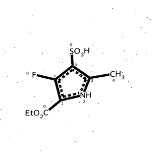 CCOC(=O)c1[nH]c(C)c(S(=O)(=O)O)c1F